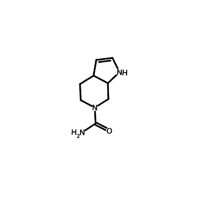 NC(=O)N1CCC2C=CNC2C1